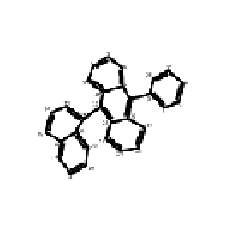 c1ccc(-c2c3ccccc3c(-c3cccc4ccccc34)c3ccccc23)cc1